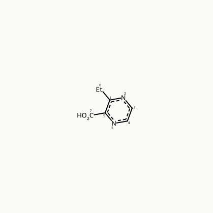 CCc1nccnc1C(=O)O